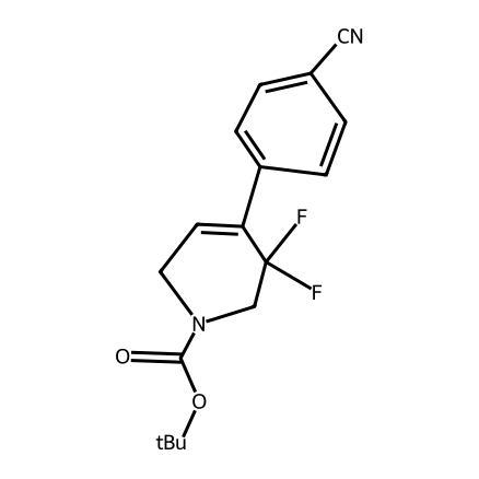 CC(C)(C)OC(=O)N1CC=C(c2ccc(C#N)cc2)C(F)(F)C1